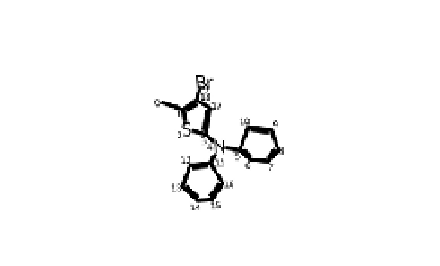 Cc1sc(N(c2ccccc2)c2ccccc2)cc1Br